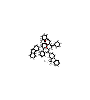 CC1(C)c2ccccc2-c2ccc(N(c3cc(-c4ccccc4)c4ccccc4c3)c3cccc(-c4cccc5sc6ccccc6c45)c3-c3ccc4c(c3)oc3ccccc34)cc21